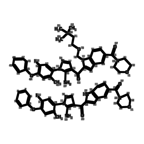 Cc1cc(Oc2ccccc2)c(F)cc1-n1ncc(C(=O)c2cc3cc(C(=O)N4CCOCC4)ccc3[nH]2)c1N.Cc1cc(Oc2ccccc2)c(F)cc1-n1ncc(C(=O)c2cc3cc(C(=O)N4CCOCC4)ccc3n2COCC[Si](C)(C)C)c1N